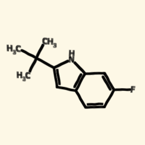 CC(C)(C)c1cc2ccc(F)cc2[nH]1